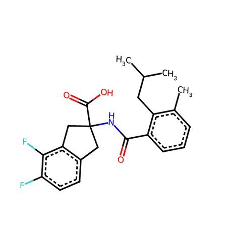 Cc1cccc(C(=O)NC2(C(=O)O)Cc3ccc(F)c(F)c3C2)c1CC(C)C